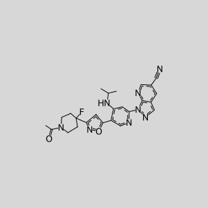 CC(=O)N1CCC(F)(c2cc(-c3cnc(-n4ncc5cc(C#N)cnc54)cc3NC(C)C)on2)CC1